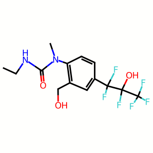 CCNC(=O)N(C)c1ccc(C(F)(F)C(O)(F)C(F)(F)F)cc1CO